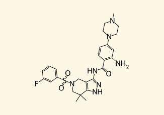 CN1CCN(c2ccc(C(=O)Nc3n[nH]c4c3CN(S(=O)(=O)c3cccc(F)c3)CC4(C)C)c(N)c2)CC1